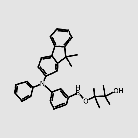 CC1(C)c2ccccc2-c2ccc(N(c3ccccc3)c3cccc(BOC(C)(C)C(C)(C)O)c3)cc21